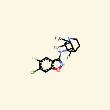 CC1(C)[C@@H](Nc2noc3cc(Cl)c(F)cc23)C2CCN1CC2